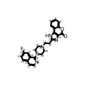 O=c1oc2ccccc2c2[nH]c(CCN3CCN(c4nccc5ccc(F)cc45)CC3)nc12